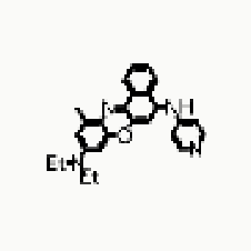 CCN(CC)c1cc(C)c2c(c1)OC1=CC(Nc3ccncc3)c3ccccc3C1=N2